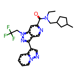 CCN(CC1CCC(C)C1)C(=O)c1cc2c(cn1)c(-c1cnn3ccccc13)nn2CC(F)(F)F